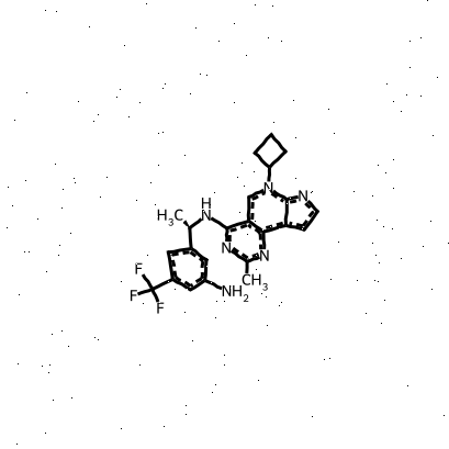 Cc1nc(N[C@H](C)c2cc(N)cc(C(F)(F)F)c2)c2cn(C3CCC3)c3nccc-3c2n1